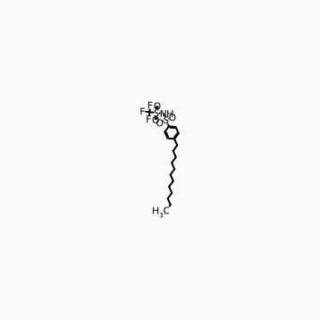 CCCCCCCCCCCCc1ccc(S(=O)(=O)NS(=O)(=O)C(F)(F)F)cc1